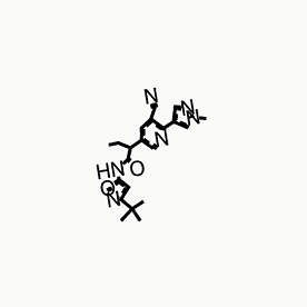 CCC(C(=O)Nc1cc(C(C)(C)C)no1)c1cnc(-c2cnn(C)c2)c(C#N)c1